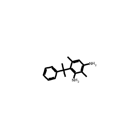 Cc1cc(N)c(C)c(N)c1C(C)(C)c1ccccc1